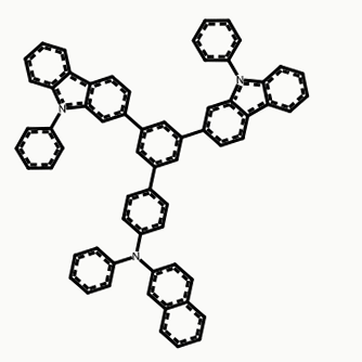 c1ccc(N(c2ccc(-c3cc(-c4ccc5c6ccccc6n(-c6ccccc6)c5c4)cc(-c4ccc5c6ccccc6n(-c6ccccc6)c5c4)c3)cc2)c2ccc3ccccc3c2)cc1